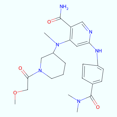 COCC(=O)N1CCCC(N(C)c2cc(Nc3ccc(C(=O)N(C)C)cc3)ncc2C(N)=O)C1